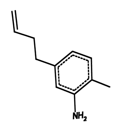 C=CCCc1ccc(C)c(N)c1